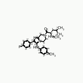 CN[C@H](CC(C)C)C(=O)N1CCn2c(nc(-c3ccc(F)cc3)c2Nc2ccc(C)cc2)C1